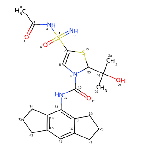 CC(=O)NS(=N)(=O)C1=CN(C(=O)Nc2c3c(cc4c2CCC4)CCC3)C(C(C)(C)O)S1